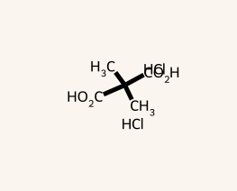 CC(C)(C(=O)O)C(=O)O.Cl.Cl